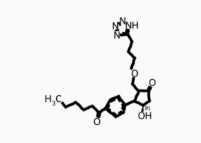 CCCCCC(=O)c1ccc(C2C(COCCCCc3nnn[nH]3)C(=O)C[C@H]2O)cc1